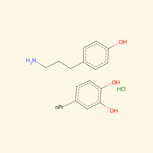 CCCc1ccc(O)c(O)c1.Cl.NCCCc1ccc(O)cc1